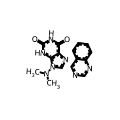 CN(C)n1cnc2c(=O)[nH]c(=O)[nH]c21.c1ccc2ncncc2c1